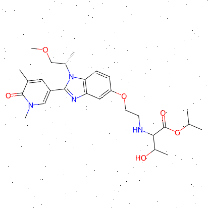 COC[C@H](C)n1c(-c2cc(C)c(=O)n(C)c2)nc2cc(OCCNC(C(=O)OC(C)C)C(C)O)ccc21